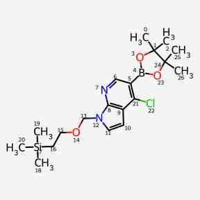 CC1(C)OB(c2cnc3c(ccn3COCC[Si](C)(C)C)c2Cl)OC1(C)C